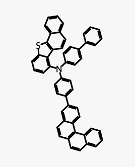 c1ccc(-c2ccc(N(c3ccc(-c4ccc5c(ccc6ccc7ccccc7c65)c4)cc3)c3cccc4sc5c6ccccc6ccc5c34)cc2)cc1